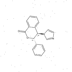 O=C1O[C@@H](c2ccccc2)[C@H](n2ccnc2)c2ccccc21